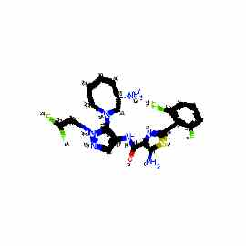 Nc1sc(-c2c(F)cccc2F)nc1C(=O)Nc1cnn(CC(F)F)c1N1CCCC[C@H](N)C1